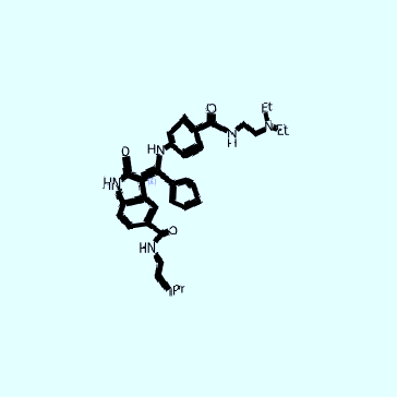 CCN(CC)CCNC(=O)c1ccc(N/C(=C2\C(=O)Nc3ccc(C(=O)NCCC(C)C)cc32)c2ccccc2)cc1